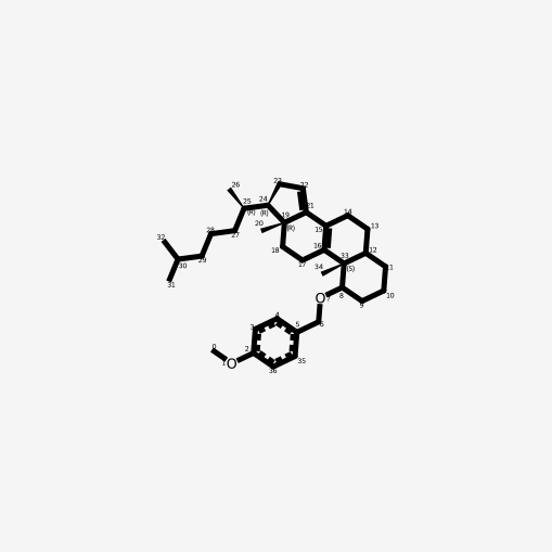 COc1ccc(COC2CCCC3CCC4=C(CC[C@@]5(C)C4=CC[C@@H]5[C@H](C)CCCC(C)C)[C@]32C)cc1